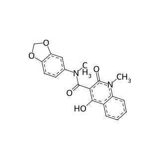 CN(C(=O)c1c(O)c2ccccc2n(C)c1=O)c1ccc2c(c1)OCO2